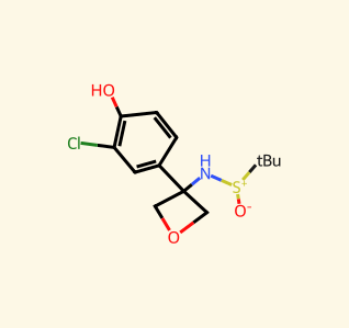 CC(C)(C)[S+]([O-])NC1(c2ccc(O)c(Cl)c2)COC1